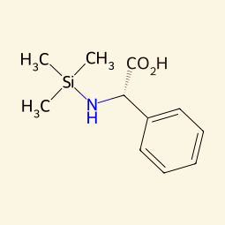 C[Si](C)(C)N[C@H](C(=O)O)c1ccccc1